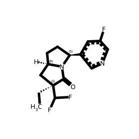 CC[C@]1(C(F)F)C[C@H]2CC[C@@H](c3cncc(F)c3)N2C1=O